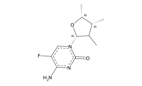 CC1[C@@H](C)[C@@H](C)O[C@H]1n1cc(F)c(N)nc1=O